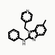 Cc1ccc2nc(Nc3ccccc3)n(Cc3ccncc3)c2c1